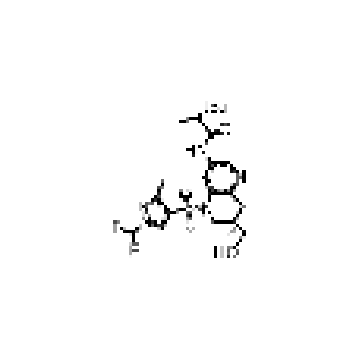 Cc1nn(C(F)F)cc1S(=O)(=O)N1C[C@H](CO)Cc2ncc(NC(=O)C(C)C(C)(C)C)cc21